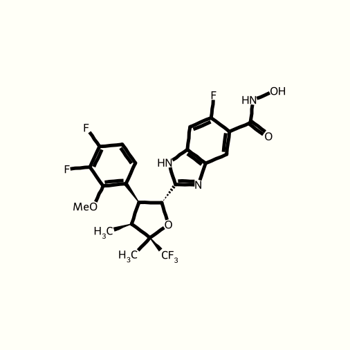 COc1c([C@H]2[C@H](c3nc4cc(C(=O)NO)c(F)cc4[nH]3)O[C@@](C)(C(F)(F)F)[C@H]2C)ccc(F)c1F